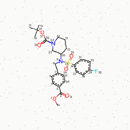 COC(=O)c1ccc(CN(C2CCCN(C(=O)OC(C)(C)C)C2)S(=O)(=O)c2ccc(F)cc2)cc1